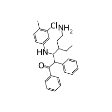 CCC(CCN)C(Nc1ccc(C)c(Cl)c1)C(C(=O)c1ccccc1)c1ccccc1